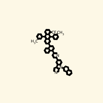 Cc1cccc(-c2c3ccc(-c4ccc(-c5ccc(-c6ccc7c(c6)c6ccncc6n7C6=Cc7ccccc7CC6)nc5)c5ccccc45)cc3c(-c3cccc(C)c3)c3c(C(F)(F)F)cccc23)c1